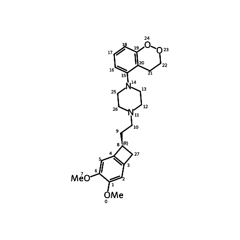 COc1cc2c(cc1OC)[C@@H](CCN1CCN(c3cccc4c3CCOO4)CC1)C2